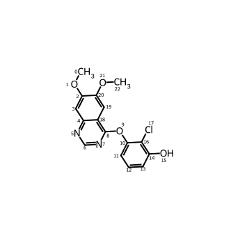 COc1cc2ncnc(Oc3cccc(O)c3Cl)c2cc1OC